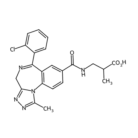 Cc1nnc2n1-c1ccc(C(=O)NCC(C)C(=O)O)cc1C(c1ccccc1Cl)=NC2